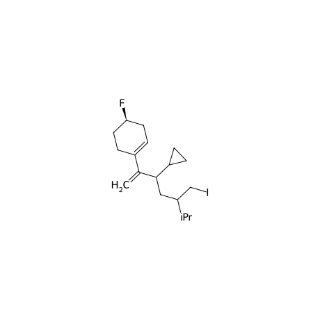 C=C(C1=CC[C@H](F)CC1)C(CC(CI)C(C)C)C1CC1